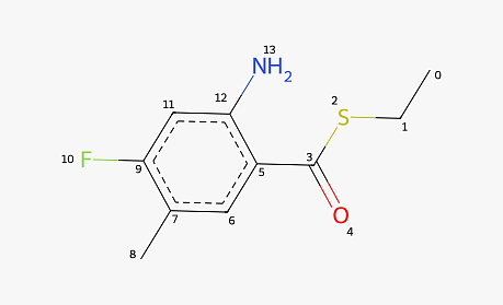 CCSC(=O)c1cc(C)c(F)cc1N